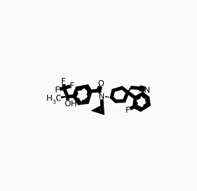 C[C@](O)(c1ccc(C(=O)N(C2CC2)[C@H]2CC[C@@](CC#N)(c3ccccc3F)CC2)cc1)C(F)(F)F